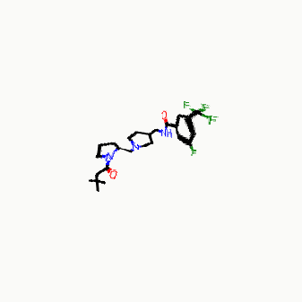 CC(C)(C)CC(=O)N1CCC[C@H]1CN1CCC(CNC(=O)c2cc(F)cc(C(F)(F)F)c2)CC1